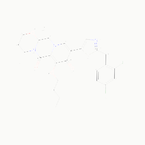 CCCCOc1c2n(cc(-c3cnc(Cc4ccc(F)cc4F)s3)c1=O)C[C@@H]1OCC[C@@H](C)N1C2=O